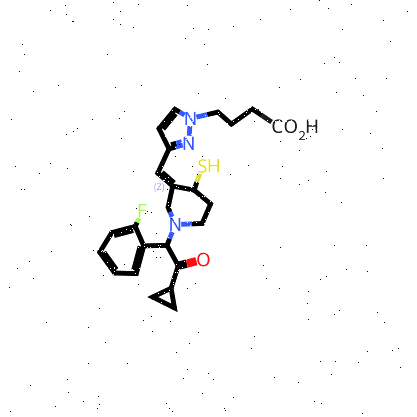 O=C(O)CCCn1ccc(/C=C2/CN(C(C(=O)C3CC3)c3ccccc3F)CCC2S)n1